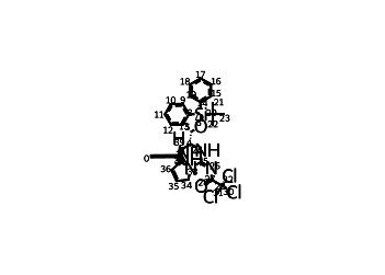 C=C1N[C@H]2[C@H](CO[Si](c3ccccc3)(c3ccccc3)C(C)(C)C)N/C(=N/C(=O)C(Cl)(Cl)Cl)N3CC=CC23N1